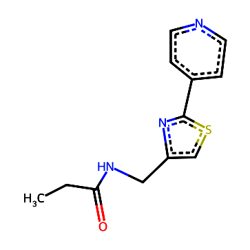 CCC(=O)NCc1csc(-c2ccncc2)n1